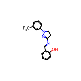 Oc1ccccc1/C=N/C1=NN(c2cccc(C(F)(F)F)c2)CC1